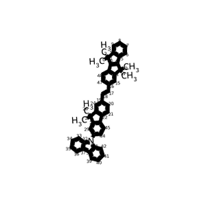 CC1(C)C2=C(c3ccccc31)C(C)(C)c1cc(/C=C/c3ccc4c(c3)C(C)(C)c3cc(-n5c6ccccc6c6ccccc65)ccc3-4)ccc12